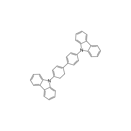 C1=C(c2ccc(-n3c4ccccc4c4ccccc43)cc2)CCC(n2c3ccccc3c3ccccc32)=C1